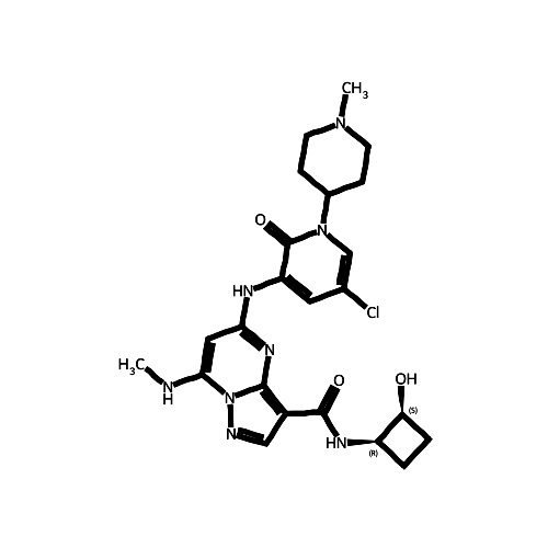 CNc1cc(Nc2cc(Cl)cn(C3CCN(C)CC3)c2=O)nc2c(C(=O)N[C@@H]3CC[C@@H]3O)cnn12